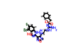 N/C(=N\S(=O)(=O)CC1CCCCC1)NCCNc1nonc1/C(=N/O)Nc1ccc(F)c(Br)c1